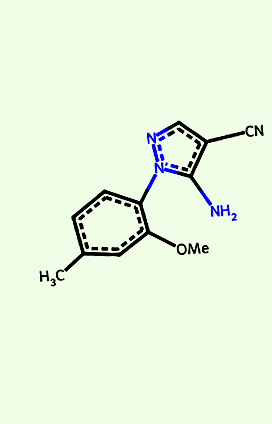 COc1cc(C)ccc1-n1ncc(C#N)c1N